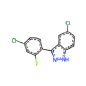 Fc1cc(Cl)ccc1-c1n[nH]c2ccc(Cl)cc12